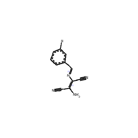 N#C/C(N)=C(C#N)\N=C\c1cccc(Br)c1